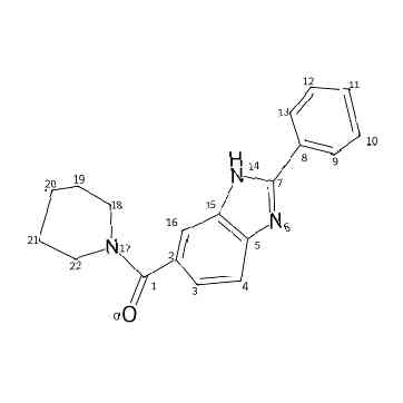 O=C(c1ccc2nc(-c3ccccc3)[nH]c2c1)N1CC[CH]CC1